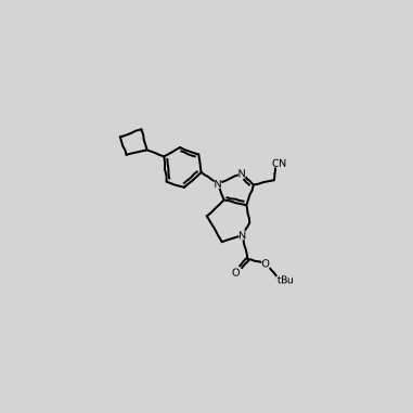 CC(C)(C)OC(=O)N1CCc2c(c(CC#N)nn2-c2ccc(C3CCC3)cc2)C1